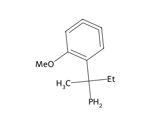 CCC(C)(P)C1=C(OC)C=C=C=C1